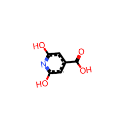 O=C(O)c1[c]c(O)nc(O)c1